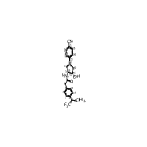 CC(c1ccc(CC(=O)N[C@H]2CN(c3ccc(C#N)nn3)C[C@@H]2O)cc1)C(F)(F)F